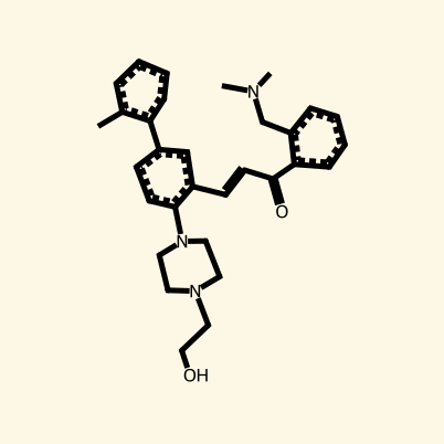 Cc1ccccc1-c1ccc(N2CCN(CCO)CC2)c(C=CC(=O)c2ccccc2CN(C)C)c1